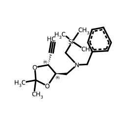 C#C[C@H]1OC(C)(C)O[C@@H]1CN(Cc1ccccc1)C[Si](C)(C)C